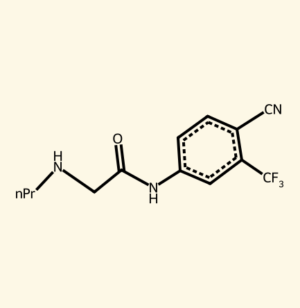 CCCNCC(=O)Nc1ccc(C#N)c(C(F)(F)F)c1